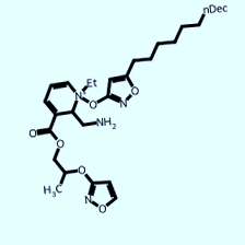 CCCCCCCCCCCCCCCCc1cc(O[N+]2(CC)C=CC=C(C(=O)OCC(C)Oc3ccon3)C2CN)no1